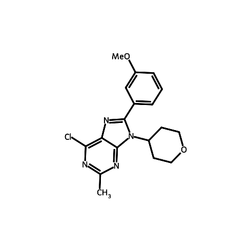 COc1cccc(-c2nc3c(Cl)nc(C)nc3n2C2CCOCC2)c1